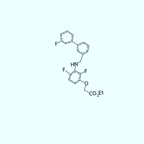 CCOC(=O)COc1ccc(F)c(NCc2cccc(-c3cccc(F)c3)c2)c1F